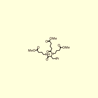 COC(=O)CCCNC(=O)C(CC(C)C)N(CCCC(=O)OC)C(=O)CCCC(=O)OC